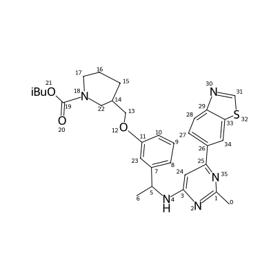 Cc1nc(NC(C)c2cccc(OCC3CCCN(C(=O)OCC(C)C)C3)c2)cc(-c2ccc3ncsc3c2)n1